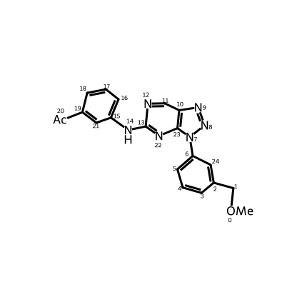 COCc1cccc(-n2nnc3cnc(Nc4cccc(C(C)=O)c4)nc32)c1